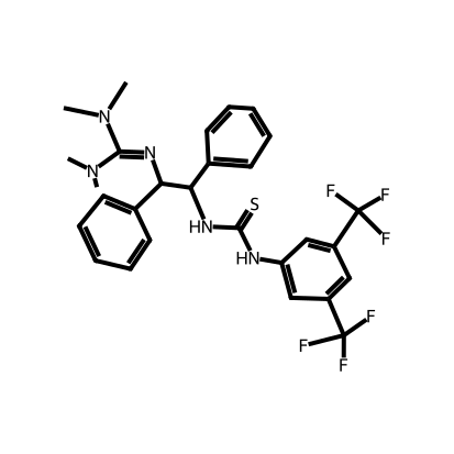 CN(C)C(=NC(c1ccccc1)C(NC(=S)Nc1cc(C(F)(F)F)cc(C(F)(F)F)c1)c1ccccc1)N(C)C